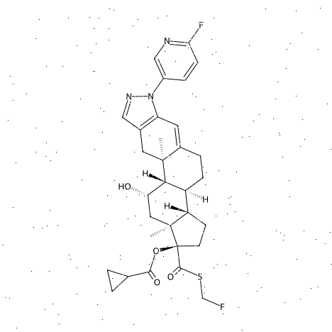 C[C@]12Cc3cnn(-c4ccc(F)nc4)c3C=C1CC[C@@H]1[C@@H]2[C@@H](O)C[C@@]2(C)[C@H]1CC[C@]2(OC(=O)C1CC1)C(=O)SCF